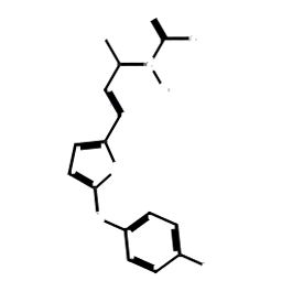 CC(/C=C/c1ccc(Oc2ccc(F)cc2)o1)N(O)C(N)=O